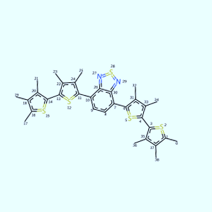 Cc1sc(-c2sc(-c3ccc(-c4sc(-c5sc(C)c(C)c5C)c(C)c4C)c4nsnc34)c(C)c2C)c(C)c1C